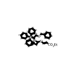 CCOC(=O)C=CSC1CC(=O)N1C(C(=O)OCc1ccccc1)=P(c1ccccc1)(c1ccccc1)c1ccccc1